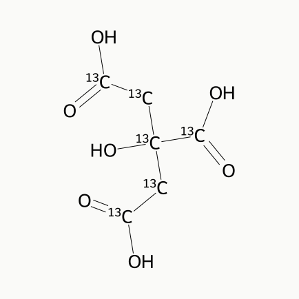 O=[13C](O)[13CH2][13C](O)([13CH2][13C](=O)O)[13C](=O)O